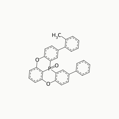 Cc1ccccc1-c1ccc2c(c1)P1(=O)c3cc(-c4ccccc4)ccc3Oc3cccc(c31)O2